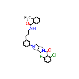 O=C(NCCCc1cccc(N2CC3CN(C(=O)c4c(F)cccc4Cl)CC3C2)c1)c1ccccc1C(F)(F)F